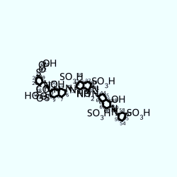 Nc1c(N=Nc2ccc3cc(SOOO)c(N=Nc4cc(SOOO)ccc4C(=O)O)c(O)c3c2)cc(S(=O)(=O)O)c2cc(S(=O)(=O)O)c(N=Nc3ccc4c(O)c(N=Nc5cccc(S(=O)(=O)O)c5)c(S(=O)(=O)O)cc4c3)c(O)c12